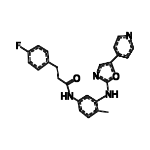 Cc1ccc(NC(=O)CCc2ccc(F)cc2)cc1Nc1ncc(-c2ccncc2)o1